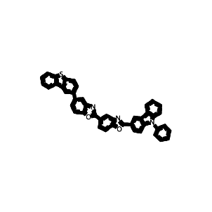 c1ccc(-n2c3ccccc3c3cc(-c4nc5cc(-c6nc7cc(-c8ccc9sc%10ccccc%10c9c8)ccc7o6)ccc5o4)ccc32)cc1